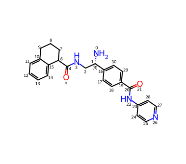 N[C@@H](CNC(=O)C1CCCc2ccccc21)c1ccc(C(=O)Nc2ccncc2)cc1